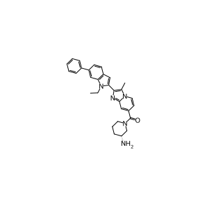 CCn1c(-c2nc3cc(C(=O)N4CCC[C@@H](N)C4)ccn3c2C)cc2ccc(-c3ccccc3)cc21